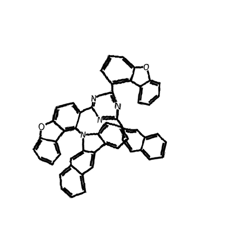 c1ccc2cc(-c3nc(-c4ccc5oc6ccccc6c5c4-n4c5ccccc5c5cc6ccccc6cc54)nc(-c4cccc5oc6ccccc6c45)n3)ccc2c1